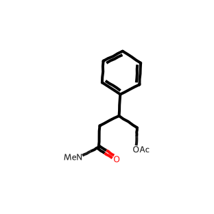 CNC(=O)CC(COC(C)=O)c1ccccc1